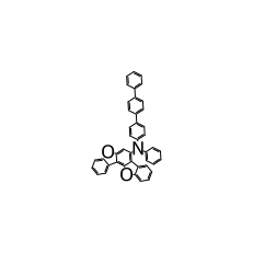 c1ccc(-c2ccc(-c3ccc(N(c4ccccc4)c4cc5oc6ccccc6c5c5oc6ccccc6c45)cc3)cc2)cc1